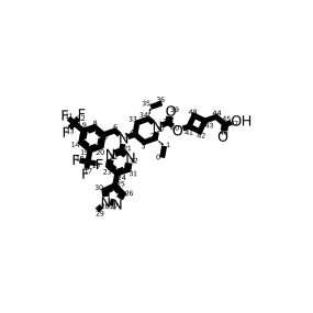 CC[C@@H]1CC(N(Cc2cc(C(F)(F)F)cc(C(F)(F)F)c2)c2ncc(-c3cnn(C)c3)cn2)C[C@H](CC)N1C(=O)OC1CC(CC(=O)O)C1